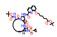 CC(C)(C)OC(=O)CCCCCOc1cccc2ccc(C(=O)N[C@@H]3C[C@H]4C(=O)N[C@]5(C(=O)NS(=O)(=O)C6CC6)C[C@H]5/C=C\CCCCC[C@H](NC(=O)OC(C)(C)C)C(=O)N4C3)nc12